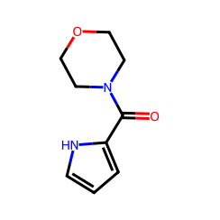 O=C(c1ccc[nH]1)N1CCOCC1